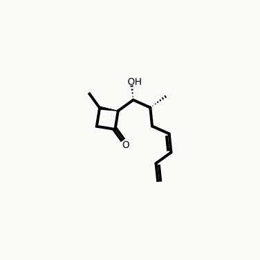 C=C/C=C\C[C@@H](C)[C@@H](O)[C@H]1C(=O)CC1C